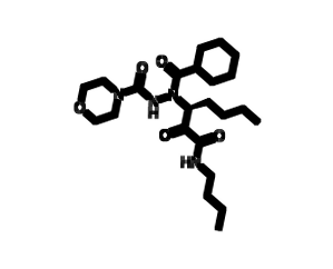 CCCCNC(=O)C(=O)[C@H](CCCC)N(NC(=O)N1CCOCC1)C(=O)C1CCCCC1